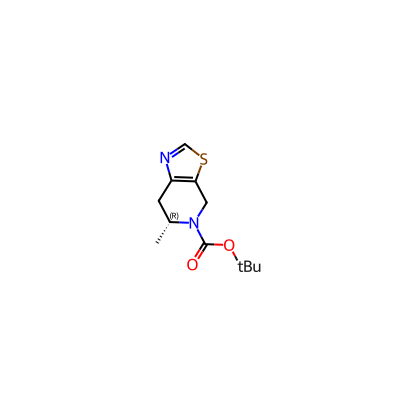 C[C@@H]1Cc2ncsc2CN1C(=O)OC(C)(C)C